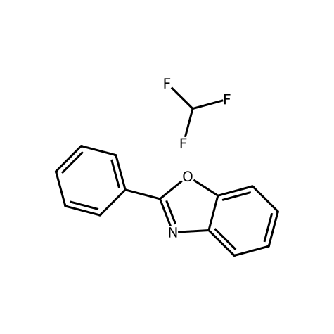 FC(F)F.c1ccc(-c2nc3ccccc3o2)cc1